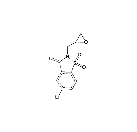 O=C1c2cc(Cl)ccc2S(=O)(=O)N1CC1CO1